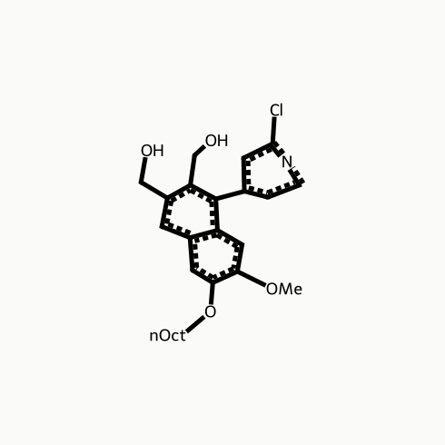 CCCCCCCCOc1cc2cc(CO)c(CO)c(-c3ccnc(Cl)c3)c2cc1OC